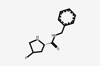 O=C(NCc1ccccc1)[C@@H]1CC(F)CN1